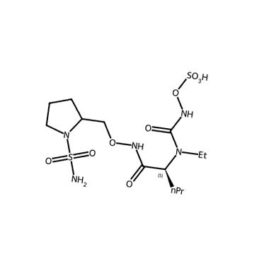 CCC[C@@H](C(=O)NOCC1CCCN1S(N)(=O)=O)N(CC)C(=O)NOS(=O)(=O)O